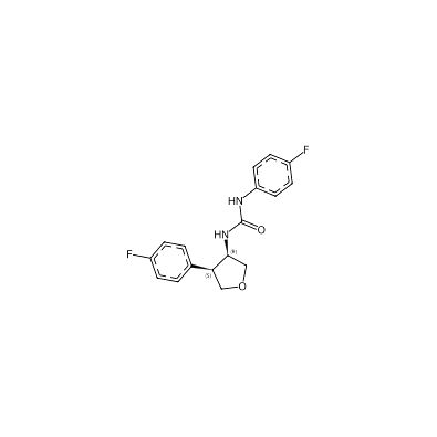 O=C(Nc1ccc(F)cc1)N[C@H]1COC[C@H]1c1ccc(F)cc1